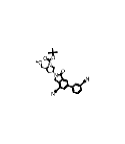 COC[C@@H]1C[C@@H](N2Cc3c(C#N)cc(-c4cccc(C#N)c4)cc3C2=O)CN1C(=O)OC(C)(C)C